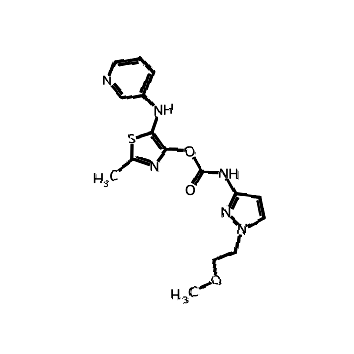 COCCn1ccc(NC(=O)Oc2nc(C)sc2Nc2cccnc2)n1